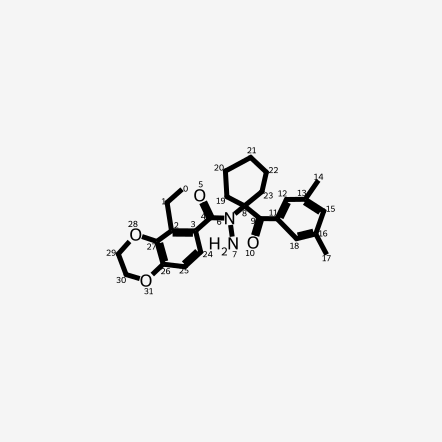 CCc1c(C(=O)N(N)C2(C(=O)c3cc(C)cc(C)c3)CCCCC2)ccc2c1OCCO2